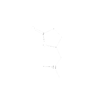 CN(C)CC1CCC(=O)O1